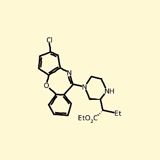 CCOC(=O)[C@@H](CC)[C@H]1CN(C2=Nc3cc(Cl)ccc3Oc3ccccc32)CCN1